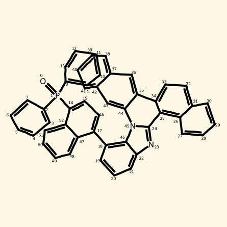 O=P(c1ccccc1)(c1ccccc1)c1ccc(-c2cccc3nc4c5c6ccccc6ccc5c5cc6ccccc6cc5n4c23)c2ccccc12